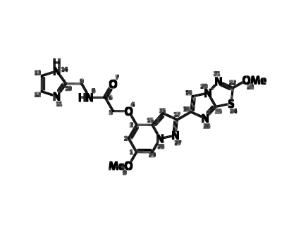 COc1cc(OCC(=O)NCc2ncc[nH]2)c2cc(-c3cn4nc(OC)sc4n3)nn2c1